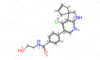 O=C(NCCO)c1ccc(-c2cnc3c(c2Cl)C2(CC=CC2)CN3)cc1